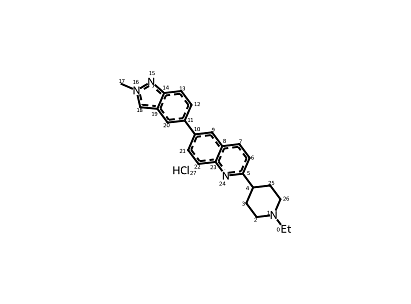 CCN1CCC(c2ccc3cc(-c4ccc5nn(C)cc5c4)ccc3n2)CC1.Cl